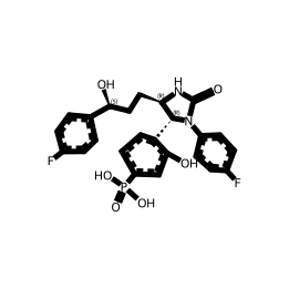 O=C1N[C@H](CC[C@H](O)c2ccc(F)cc2)[C@@H](c2ccc(P(=O)(O)O)cc2O)N1c1ccc(F)cc1